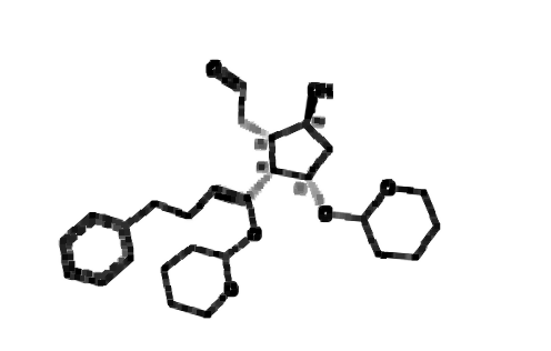 O=CC[C@H]1[C@@H](C(=CCCc2ccccc2)OC2CCCCO2)[C@@H](OC2CCCCO2)C[C@@H]1O